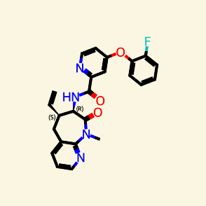 C=C[C@@H]1Cc2cccnc2N(C)C(=O)[C@@H]1NC(=O)c1cc(Oc2ccccc2F)ccn1